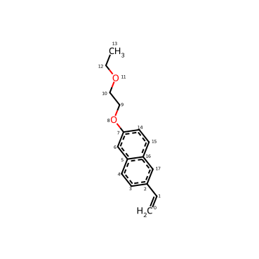 C=Cc1ccc2cc(OCCOCC)ccc2c1